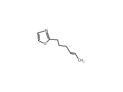 [CH2]C=CCCCc1ncco1